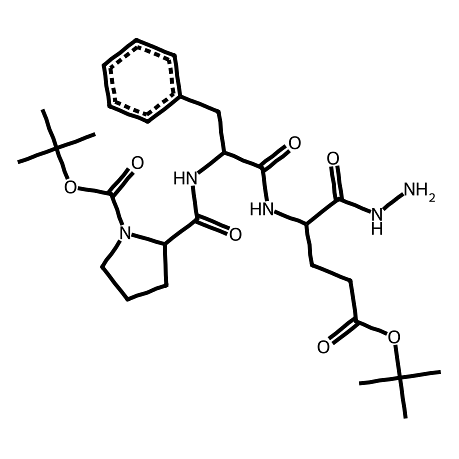 CC(C)(C)OC(=O)CCC(NC(=O)C(Cc1ccccc1)NC(=O)C1CCCN1C(=O)OC(C)(C)C)C(=O)NN